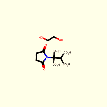 O=C(O)C(C(C(=O)O)(N1C(=O)CCC1=O)S(=O)(=O)O)S(=O)(=O)O.OCCO